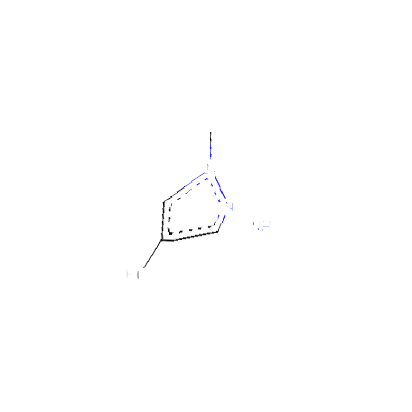 CCc1cnn(C)c1.N